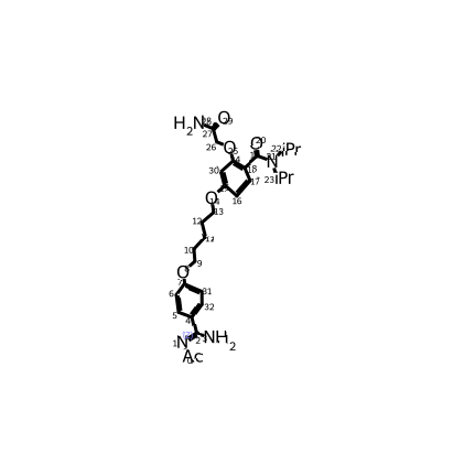 CC(=O)/N=C(\N)c1ccc(OCCCCCOc2ccc(C(=O)N(C(C)C)C(C)C)c(OCC(N)=O)c2)cc1